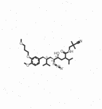 COCCCOc1cc(C[C@@H](C[C@H](N=[N+]=[N-])[C@@H](O)CC(C(=O)NCC(C)(C)C#N)C(C)C)C(C)C)ccc1OC